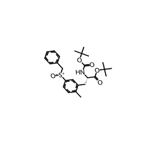 Cc1ccc([S+]([O-])Cc2ccccc2)cc1C[C@H](NC(=O)OC(C)(C)C)C(=O)OC(C)(C)C